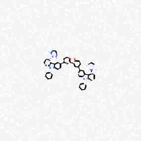 c1ccc(-n2c3ccc(-c4ccc5oc6ccc(-c7ccc8c(c7)c7c(-c9ncccn9)cccc7n8-c7ccccc7)cc6c5c4)cc3c3c(-c4ncccn4)cccc32)cc1